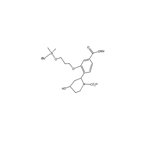 COC(=O)c1ccc(C2CC(O)CCN2C(=O)O)c(OCCCO[Si](C)(C)C(C)(C)C)c1